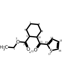 CCOC(=O)C1CCCCC1C(=O)c1cccs1